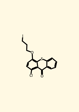 O=c1c2ccccc2sc2c(OCCCI)ccc(Cl)c12